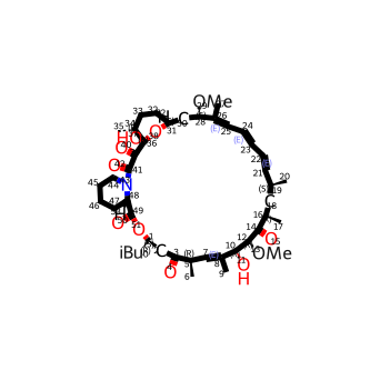 CC[C@@H](C)[C@@H]1CC(=O)[C@H](C)/C=C(\C)[C@@H](O)[C@@H](OC)C(=O)[C@H](C)C[C@H](C)/C=C/C=C/C=C(\C)[C@@H](OC)C[C@@H]2CC[C@@H](C)[C@@](O)(O2)C(=O)C(=O)N2CCCC[C@H]2C(=O)O1